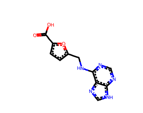 O=C(O)c1ccc(CNc2ncnc3[nH]cnc23)o1